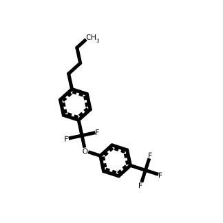 CCCCc1ccc(C(F)(F)Oc2ccc(C(F)(F)F)cc2)cc1